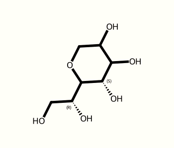 OC[C@@H](O)C1OCC(O)C(O)[C@@H]1O